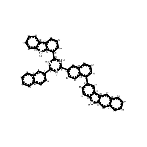 c1ccc2cc(-c3nc(-c4ccc5c(-c6ccc7oc8cc9ccccc9cc8c7c6)cccc5c4)nc(-c4cccc5c4oc4ccccc45)n3)ccc2c1